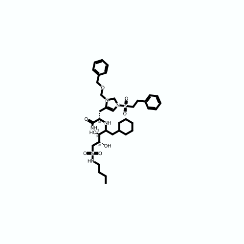 CCCCNS(=O)(=O)C[C@@H](O)[C@@H](O)C(CC1CCCCC1)N[C@@H](CC1=CN(S(=O)(=O)CCc2ccccc2)CN1COCc1ccccc1)C(N)=O